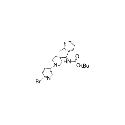 CC(C)(C)OC(=O)N[C@@H]1c2ccccc2CC12CCN(c1ccc(Br)nc1)CC2